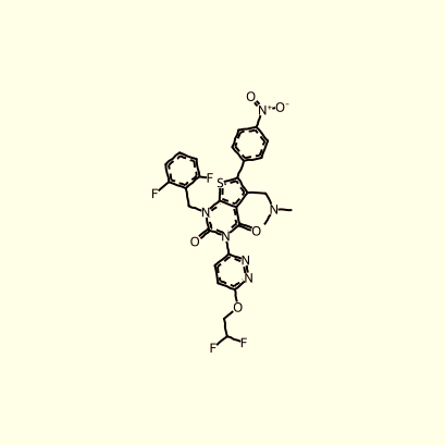 CN(C)Cc1c(-c2ccc([N+](=O)[O-])cc2)sc2c1c(=O)n(-c1ccc(OCC(F)F)nn1)c(=O)n2Cc1c(F)cccc1F